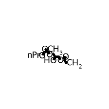 C=CC(=O)OCC(O)COC1(C)OC1OCCC